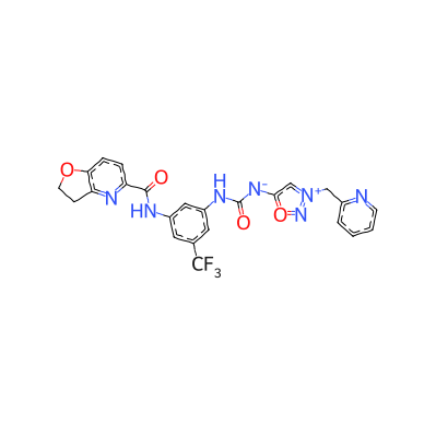 O=C([N-]c1c[n+](Cc2ccccn2)no1)Nc1cc(NC(=O)c2ccc3c(n2)CCO3)cc(C(F)(F)F)c1